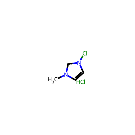 CN1C=CN(Cl)C1.Cl